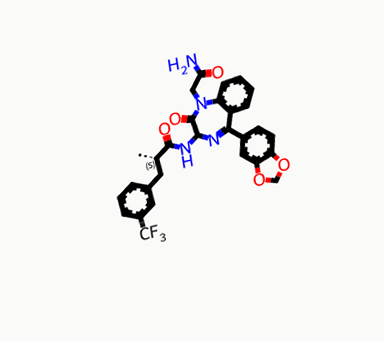 C[C@@H](Cc1cccc(C(F)(F)F)c1)C(=O)NC1N=C(c2ccc3c(c2)OCO3)c2ccccc2N(CC(N)=O)C1=O